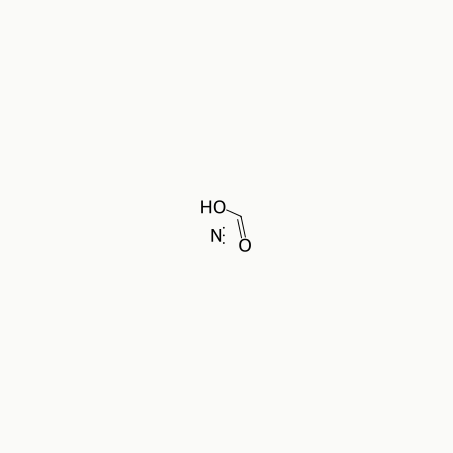 O=CO.[N]